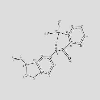 C=CB1OCc2ccc(NC(=O)c3ccccc3C(F)(F)F)cc21